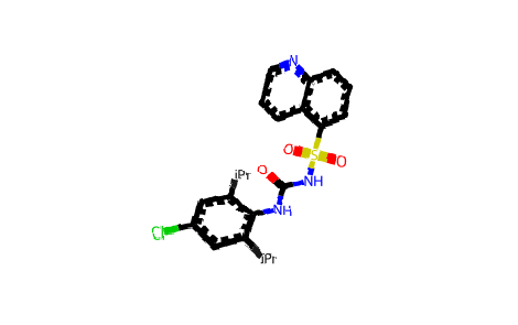 CC(C)c1cc(Cl)cc(C(C)C)c1NC(=O)NS(=O)(=O)c1cccc2ncccc12